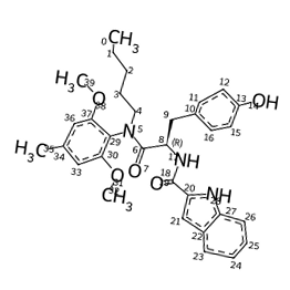 CCCCCN(C(=O)[C@@H](Cc1ccc(O)cc1)NC(=O)c1cc2ccccc2[nH]1)c1c(OC)cc(C)cc1OC